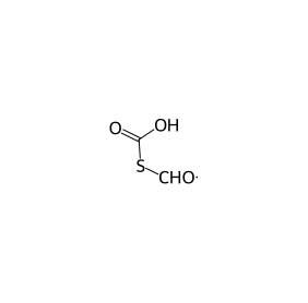 O=[C]SC(=O)O